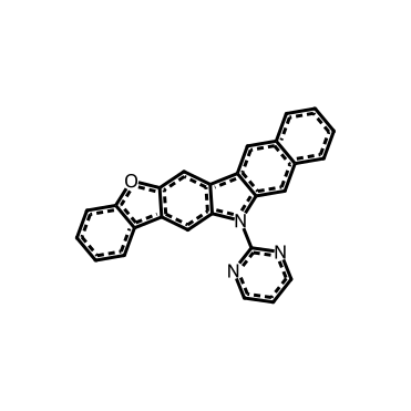 c1cnc(-n2c3cc4ccccc4cc3c3cc4oc5ccccc5c4cc32)nc1